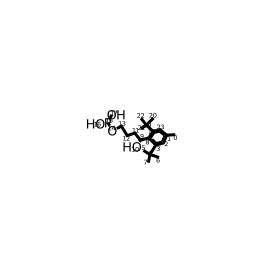 Cc1cc(C(C)(C)C)c(C(O)CCCOP(O)O)c(C(C)(C)C)c1